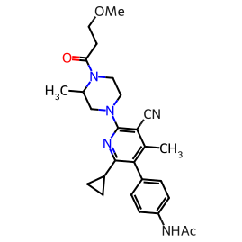 COCCC(=O)N1CCN(c2nc(C3CC3)c(-c3ccc(NC(C)=O)cc3)c(C)c2C#N)CC1C